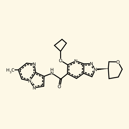 Cc1cnc2c(NC(=O)c3cc4cn([C@@H]5CCCOC5)nc4nc3OC3CCC3)cnn2c1